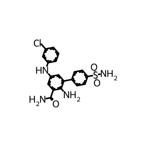 NC(=O)c1cc(Nc2cccc(Cl)c2)cc(-c2ccc(S(N)(=O)=O)cc2)c1N